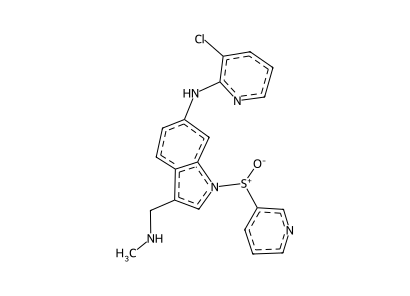 CNCc1cn([S+]([O-])c2cccnc2)c2cc(Nc3ncccc3Cl)ccc12